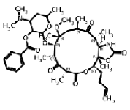 C=CCC[C@H]1OC(=O)[C@H](C)C(=O)[C@H](C)[C@@H](OC2OC(C)CC(N(C)C)C2OC(=O)c2ccccc2)[C@](C)(OC)C[C@@H](C)C(=O)[C@H](C)[C@H]2NC(=O)O[C@@]21C